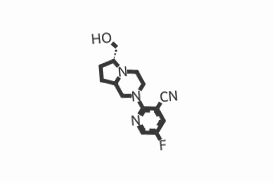 N#Cc1cc(F)cnc1N1CCN2C(CC[C@@H]2CO)C1